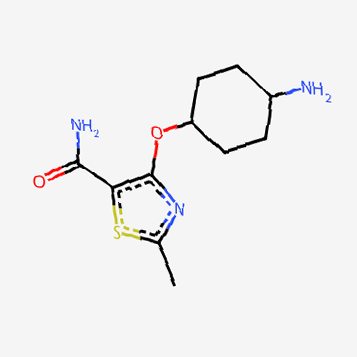 Cc1nc(OC2CCC(N)CC2)c(C(N)=O)s1